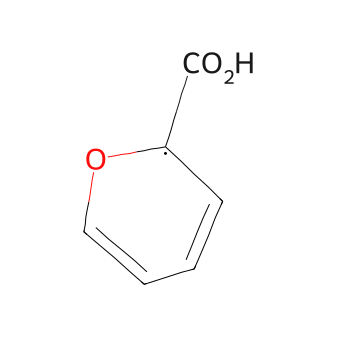 O=C(O)[C]1C=CC=CO1